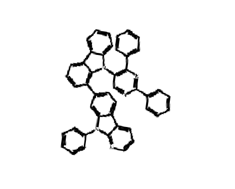 c1ccc(-c2ncc(-n3c4ccccc4c4cccc(-c5ccc6c7cccnc7n(-c7ccccc7)c6c5)c43)c(-c3ccccc3)n2)cc1